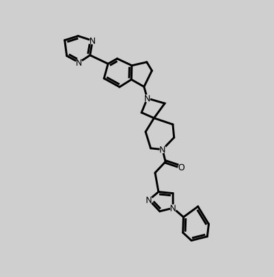 O=C(Cc1cn(-c2ccccc2)cn1)N1CCC2(CC1)CN(C1CCc3cc(-c4ncccn4)ccc31)C2